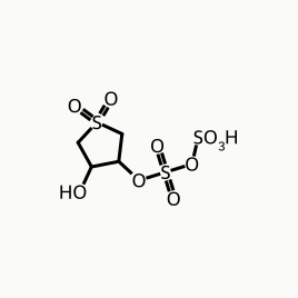 O=S1(=O)CC(O)C(OS(=O)(=O)OS(=O)(=O)O)C1